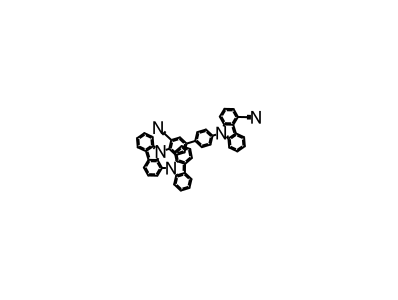 N#Cc1cc(-c2ccc(-n3c4ccccc4c4c(C#N)cccc43)cc2)ccc1-n1c2ccccc2c2cccc(-n3c4ccccc4c4ccccc43)c21